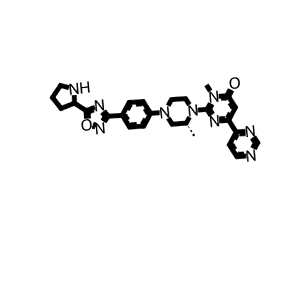 C[C@@H]1CN(c2ccc(-c3noc(C4CCCN4)n3)cc2)CCN1c1nc(-c2ccncn2)cc(=O)n1C